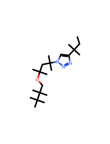 CCC(C)(C)c1cn(C(C)(C)CC(C)(C)OCC(C)(C)C(C)(C)C)nn1